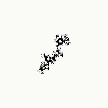 COc1c([N+](=O)[O-])cc(COC[C@@H](C)NC(=O)c2cnc3c(NC(=O)OC(C)(C)C)cc(Cl)nn23)c(F)c1F